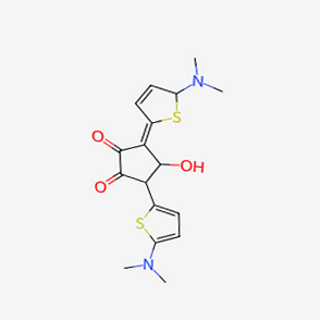 CN(C)c1ccc(C2C(=O)C(=O)C(=C3C=CC(N(C)C)S3)C2O)s1